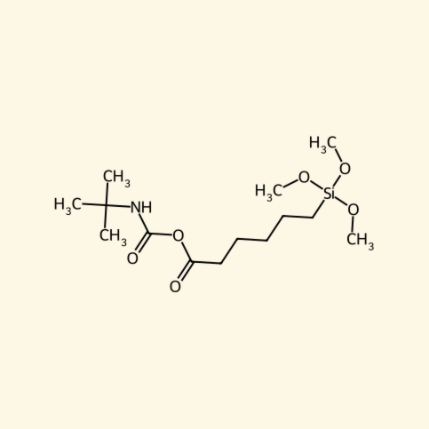 CO[Si](CCCCCC(=O)OC(=O)NC(C)(C)C)(OC)OC